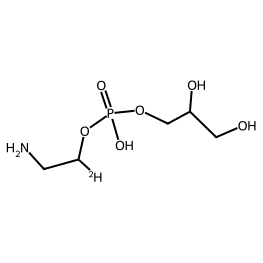 [2H]C(CN)OP(=O)(O)OCC(O)CO